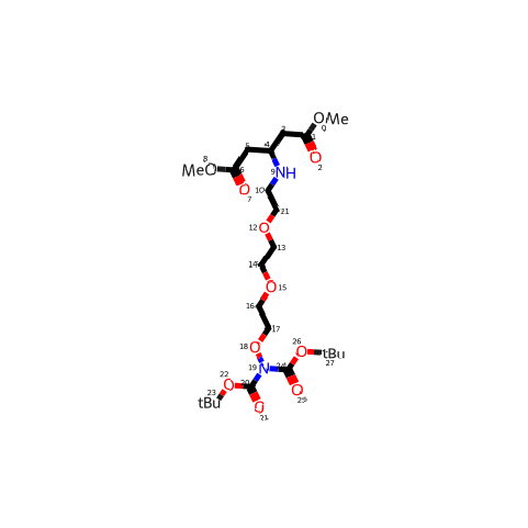 COC(=O)CC(CC(=O)OC)NCCOCCOCCON(C(=O)OC(C)(C)C)C(=O)OC(C)(C)C